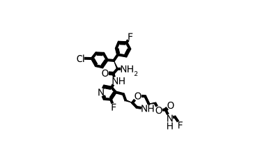 NC(C(=O)Nc1cncc(F)c1CC[C@@H]1CN[C@H](COC(=O)NCF)CO1)[C@H](c1ccc(F)cc1)c1ccc(Cl)cc1